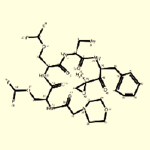 CC(C)C[C@H](NC(=O)[C@H](COC(F)F)NC(=O)[C@H](COC(F)F)NC(=O)CN1CCOCC1)C(=O)N[C@@H](Cc1ccccc1)C(=O)[C@]1(C)CO1